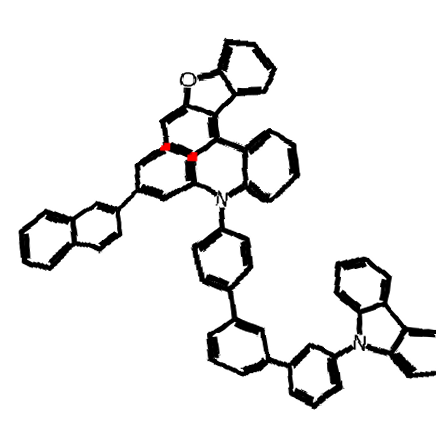 c1cc(-c2ccc(N(c3cccc(-c4ccc5ccccc5c4)c3)c3ccccc3-c3cccc4oc5ccccc5c34)cc2)cc(-c2cccc(-n3c4ccccc4c4ccccc43)c2)c1